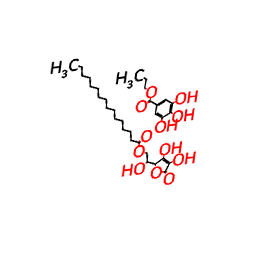 CCCCCCCCCCCCCCCC(=O)OC[C@H](O)[C@H]1OC(=O)C(O)=C1O.CCCOC(=O)c1cc(O)c(O)c(O)c1